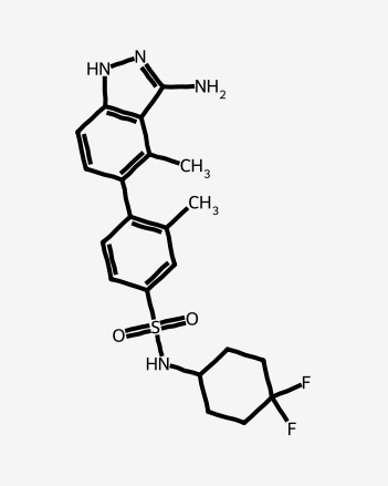 Cc1cc(S(=O)(=O)NC2CCC(F)(F)CC2)ccc1-c1ccc2[nH]nc(N)c2c1C